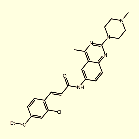 CCOc1ccc(C=CC(=O)Nc2ccc3nc(N4CCN(C)CC4)nc(C)c3c2)c(Cl)c1